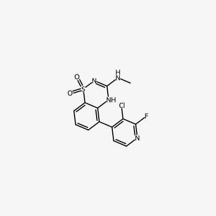 CNC1=NS(=O)(=O)c2cccc(-c3ccnc(F)c3Cl)c2N1